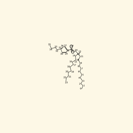 CCCCCCCCCCCCC(C)(CCCCCCCCCC)COC(=O)c1ccc(CCCC)cc1